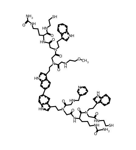 COCCNCC(=O)N(CCc1c[nH]c2cc(-c3ccc4[nH]cc(CCN(CC(=O)NC(CCCNC(N)=O)C(=O)N(CCc5c[nH]c6ccccc56)CC(=O)NCCS)C(=O)CNCc5cccnc5)c4c3)ccc12)CC(=O)N(CCc1c[nH]c2ccccc12)CC(=O)NC(CCCNC(N)=O)C(=O)NCCS